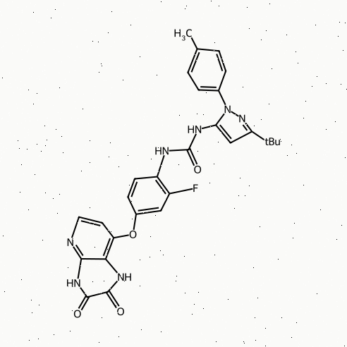 Cc1ccc(-n2nc(C(C)(C)C)cc2NC(=O)Nc2ccc(Oc3ccnc4[nH]c(=O)c(=O)[nH]c34)cc2F)cc1